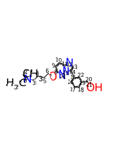 CN(C)CCCCOc1ccc2ncc(-c3cccc(CO)c3)n2n1